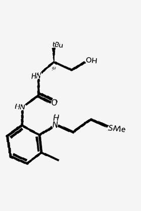 CSCCNc1c(C)cccc1NC(=O)N[C@H](CO)C(C)(C)C